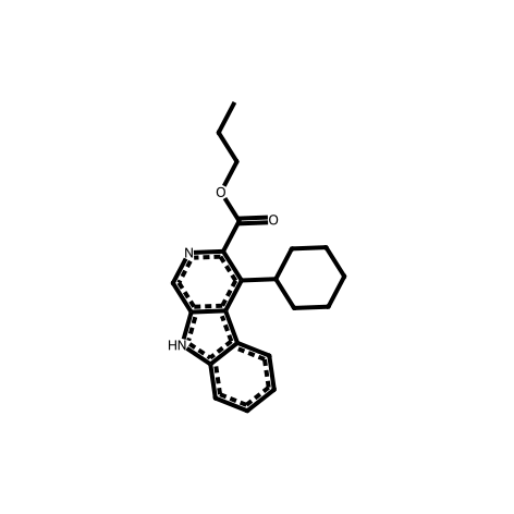 CCCOC(=O)c1ncc2[nH]c3ccccc3c2c1C1CCCCC1